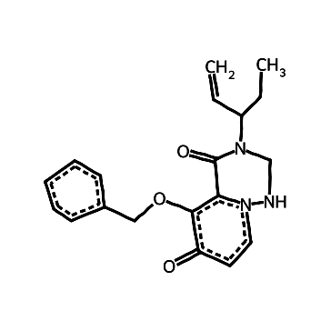 C=CC(CC)N1CNn2ccc(=O)c(OCc3ccccc3)c2C1=O